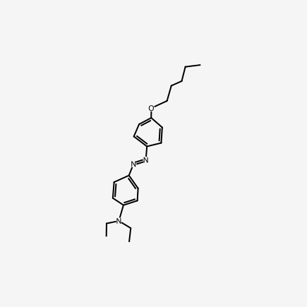 CCCCCOc1ccc(N=Nc2ccc(N(CC)CC)cc2)cc1